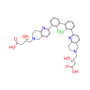 O=C(O)C[C@H](O)CN1CCc2nc(-c3cccc(-c4cccc(-c5ccc6c(n5)CCN(C[C@@H](O)CC(=O)O)C6)c4Cl)c3Cl)ccc2C1